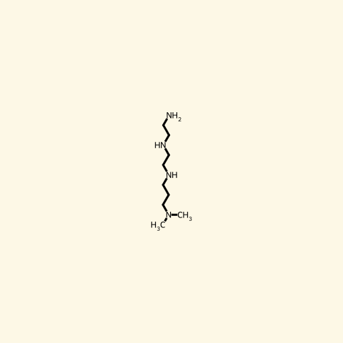 CN(C)CCCNCCNCCN